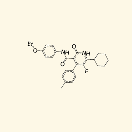 CCOc1ccc(NC(=O)c2c(-c3ccc(C)cc3)c(F)c(C3CCCCC3)[nH]c2=O)cc1